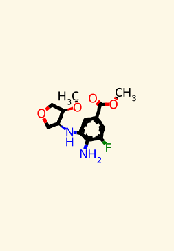 COC(=O)c1cc(F)c(N)c(N[C@H]2COC[C@H]2OC)c1